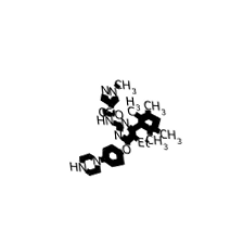 CCc1c(Oc2ccc(N3CCNCC3)cc2)nc(NS(=O)(=O)c2cnn(C)c2)nc1-c1c(C)c(C)cc(C)c1C